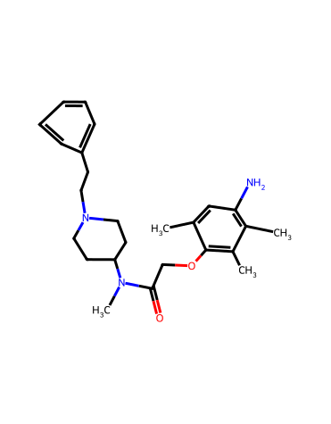 Cc1cc(N)c(C)c(C)c1OCC(=O)N(C)C1CCN(CCc2ccccc2)CC1